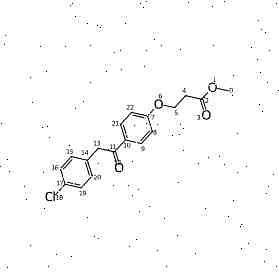 COC(=O)CCOc1ccc(C(=O)Cc2ccc(Cl)cc2)cc1